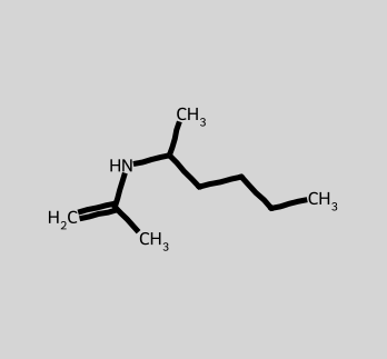 C=C(C)NC(C)CCCC